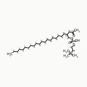 CCCCCCCCCCCCCCCCCCCCC(COP(=O)(O)OCC[N+](C)(C)C)CC(C)=O